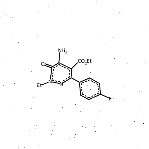 CCOC(=O)c1c(-c2ccc(F)cc2)nn(CC)c(=O)c1N